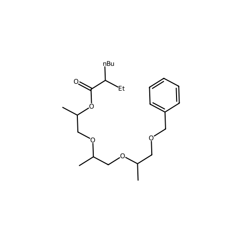 CCCCC(CC)C(=O)OC(C)COC(C)COC(C)COCc1ccccc1